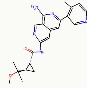 COC(C)(C)[C@@H]1C[C@H]1C(=O)Nc1cc2cc(-c3cnccc3C)nc(N)c2cn1